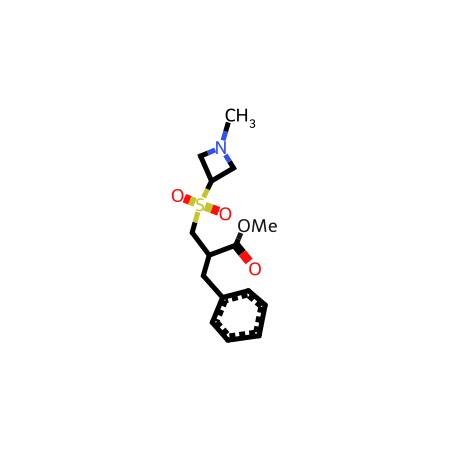 COC(=O)C(Cc1ccccc1)CS(=O)(=O)C1CN(C)C1